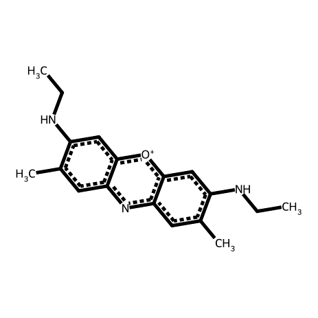 CCNc1cc2[o+]c3cc(NCC)c(C)cc3nc2cc1C